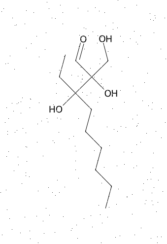 CCCCCCC(O)(CC)C(O)(C=O)CO